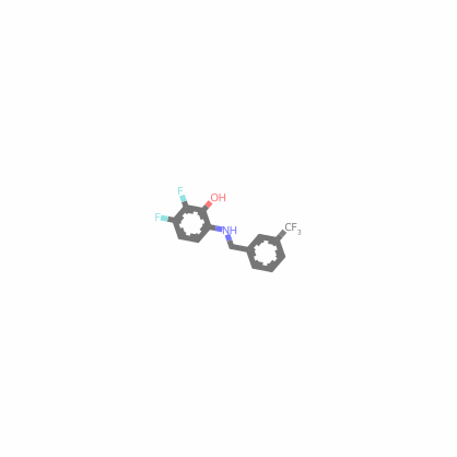 Oc1c(NCc2cccc(C(F)(F)F)c2)ccc(F)c1F